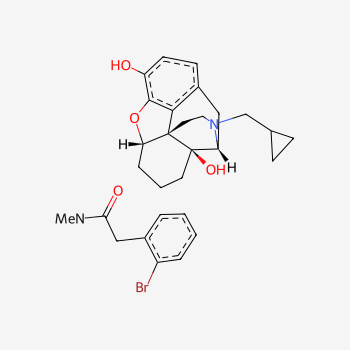 CNC(=O)Cc1ccccc1Br.Oc1ccc2c3c1O[C@H]1CCC[C@@]4(O)[C@@H](C2)N(CC2CC2)CC[C@]314